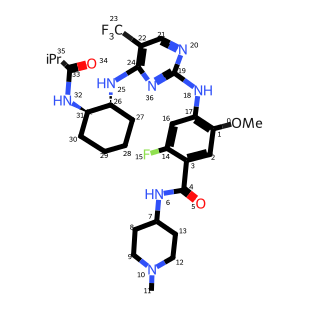 COc1cc(C(=O)NC2CCN(C)CC2)c(F)cc1Nc1ncc(C(F)(F)F)c(N[C@@H]2CCCC[C@H]2NC(=O)C(C)C)n1